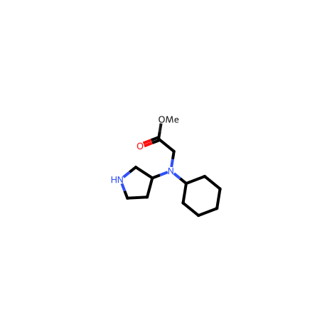 COC(=O)CN(C1CCCCC1)C1CCNC1